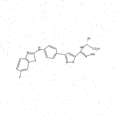 CC(C)[C@@H](N/C(=N\O)c1cc(-c2ccc(Nc3nc4ccc(F)cc4s3)cc2)no1)C(=O)O